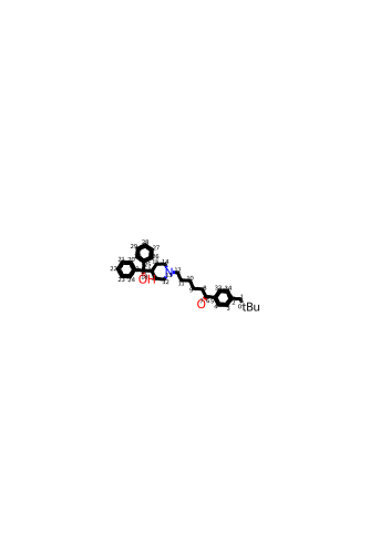 CC(C)(C)Cc1ccc(C(=O)CCCCCN2CCC(C(O)(c3ccccc3)c3ccccc3)CC2)cc1